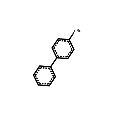 [CH2]CCCc1ccc(-c2ccccc2)cc1